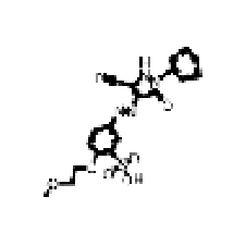 COCCOc1ccc(N=Nc2c(C#N)[nH]n(-c3ccccc3)c2=O)cc1S(=O)(=O)O